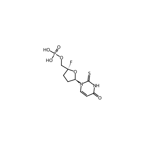 O=c1ccn([C@H]2CC[C@@](F)(COP(=O)(O)O)O2)c(=S)[nH]1